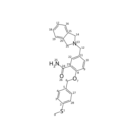 CSc1ccc(COc2ccc(CN3Cc4ccccc4C3)cc2C(N)=O)cc1